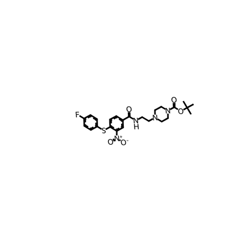 CC(C)(C)OC(=O)N1CCN(CCNC(=O)c2ccc(Sc3ccc(F)cc3)c([N+](=O)[O-])c2)CC1